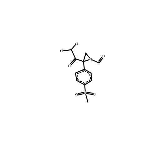 CS(=O)(=O)c1ccc(C2(C(=O)C(Cl)Cl)CN2C=O)cc1